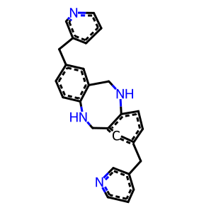 c1cncc(Cc2ccc3c(c2)CNc2ccc(Cc4cccnc4)cc2CN3)c1